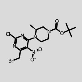 C[C@H]1CN(C(=O)OC(C)(C)C)CCN1c1nc(Cl)nc(CBr)c1[N+](=O)[O-]